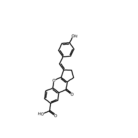 O=C(O)c1ccc2oc3c(c(=O)c2c1)CCC3=Cc1ccc(O)cc1